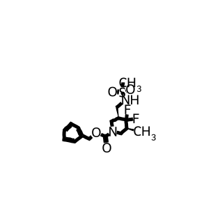 C[C@H]1CN(C(=O)OCc2ccccc2)C[C@@H](CNS(C)(=O)=O)C1(F)F